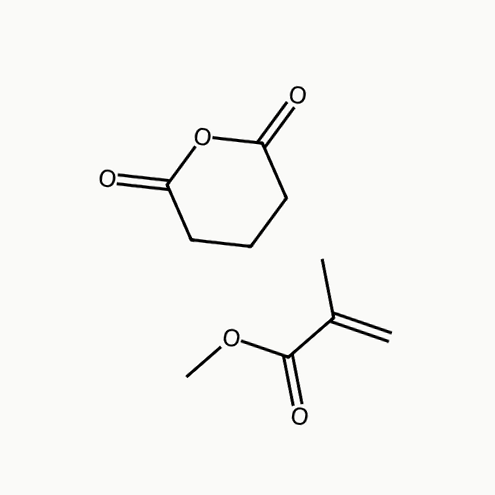 C=C(C)C(=O)OC.O=C1CCCC(=O)O1